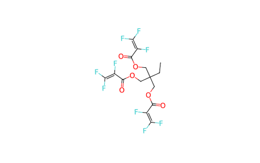 CCC(COC(=O)C(F)=C(F)F)(COC(=O)C(F)=C(F)F)COC(=O)C(F)=C(F)F